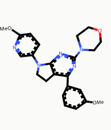 COc1cccc(-c2nc(N3CCOCC3)nc3c2CCN3c2ccc(OC)nc2)c1